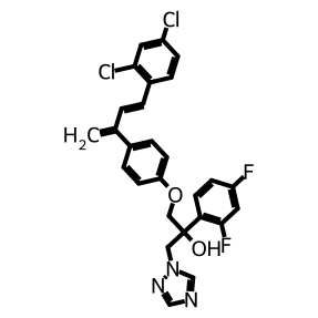 C=C(/C=C/c1ccc(Cl)cc1Cl)c1ccc(OCC(O)(Cn2cncn2)c2ccc(F)cc2F)cc1